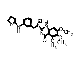 COc1cc2[nH]c(N(C)Cc3cccc(NC4=NCCC4)c3)nc(=O)c2c(C)c1OC